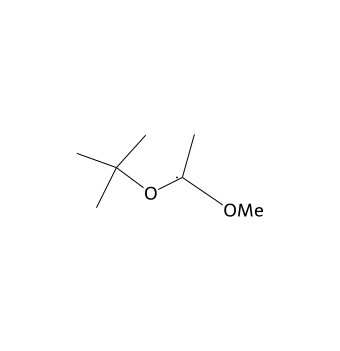 CO[C](C)OC(C)(C)C